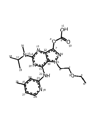 CCOCCn1nc(OC(=O)O)c2nc(N(C)C(C)C)nc(Nc3cc(C)ccn3)c21